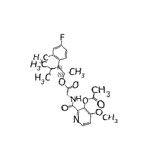 COc1ccnc(C(=O)NCC(=O)O[C@@H](C)[C@H](c2ccc(F)cc2C)C(C)C)c1OC(C)=O